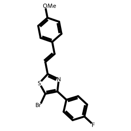 COc1ccc(C=Cc2nc(-c3ccc(F)cc3)c(Br)s2)cc1